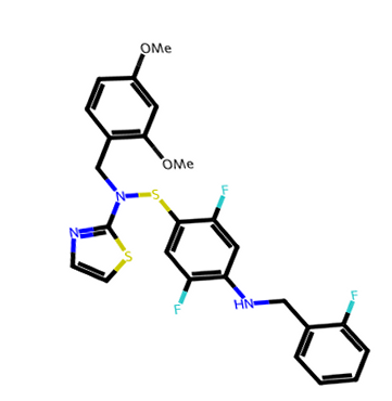 COc1ccc(CN(Sc2cc(F)c(NCc3ccccc3F)cc2F)c2nccs2)c(OC)c1